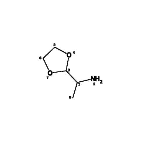 CC(N)C1OCCO1